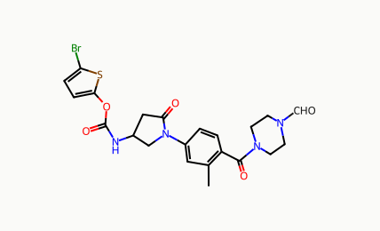 Cc1cc(N2CC(NC(=O)Oc3ccc(Br)s3)CC2=O)ccc1C(=O)N1CCN(C=O)CC1